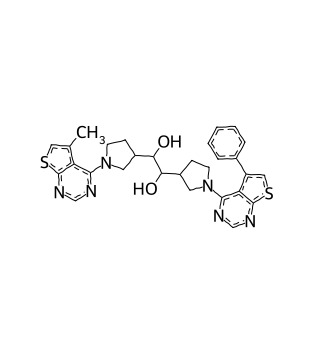 Cc1csc2ncnc(N3CCC(C(O)C(O)C4CCN(c5ncnc6scc(-c7ccccc7)c56)C4)C3)c12